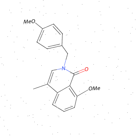 COc1ccc(Cn2cc(C)c3cccc(OC)c3c2=O)cc1